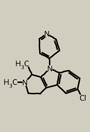 CC1c2c(c3cc(Cl)ccc3n2-c2ccncc2)CCN1C